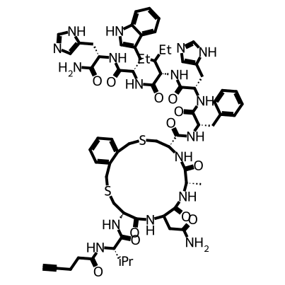 C#CCCC(=O)N[C@H](C(=O)N[C@@H]1CSCc2ccccc2CSC[C@H](C(=O)N[C@@H](Cc2ccccc2)C(=O)N[C@@H](Cc2cnc[nH]2)C(=O)N[C@H](C(=O)N[C@@H](Cc2c[nH]c3ccccc23)C(=O)N[C@@H](Cc2cnc[nH]2)C(N)=O)C(CC)CC)NC(=O)[C@H](C)NC(=O)C(CC(N)=O)NC1=O)C(C)C